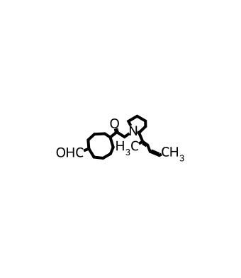 C/C=C\C=C(/C)C1CCCCN1CC(=O)C1CCCCC(C=O)CCC1